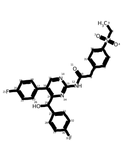 CCS(=O)(=O)c1ccc(CC(=O)Nc2ncc(-c3ccc(F)cc3)c(C(O)c3ccc(F)cc3)n2)cc1